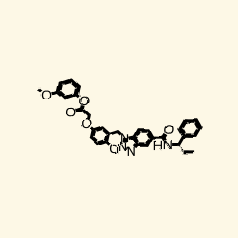 CC[C@H](NC(=O)c1ccc2c(c1)nnn2Cc1cc(OCC(=O)Oc2cccc(OC)c2)ccc1Cl)c1ccccc1